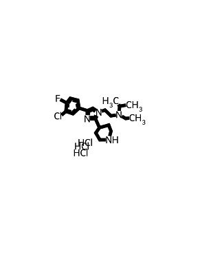 CCN(CCn1cc(-c2ccc(F)c(Cl)c2)nc1C1CCNCC1)C(C)C.Cl.Cl.Cl